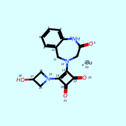 CC[C@H](C)C1C(=O)Nc2ccccc2CN1c1c(N2CC(O)C2)c(=O)c1=O